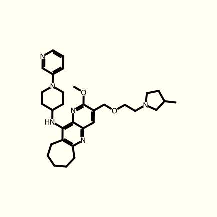 COc1nc2c(NC3CCN(c4cccnc4)CC3)c3c(nc2cc1COCCN1CCC(C)C1)CCCCC3